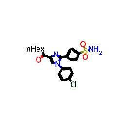 CCCCCCC(=O)c1cn(-c2ccc(Cl)cc2)c(-c2ccc(S(N)(=O)=O)cc2)n1